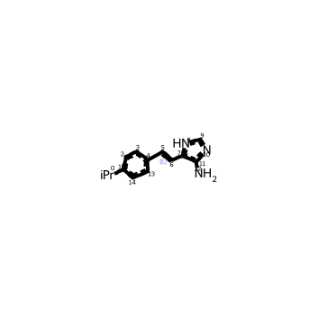 CC(C)c1ccc(/C=C/c2[nH]cnc2N)cc1